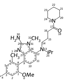 COc1cc(Br)cc(C)c1-c1ccc(N(CCCC(=O)N2CCCCC2)C(C)C)c2c1nc(N)n2C